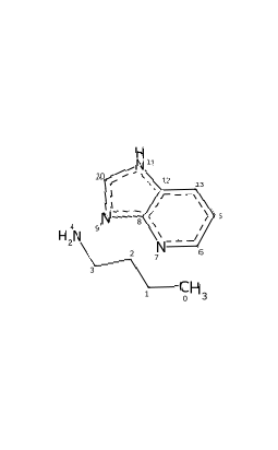 CCCCN.c1cnc2nc[nH]c2c1